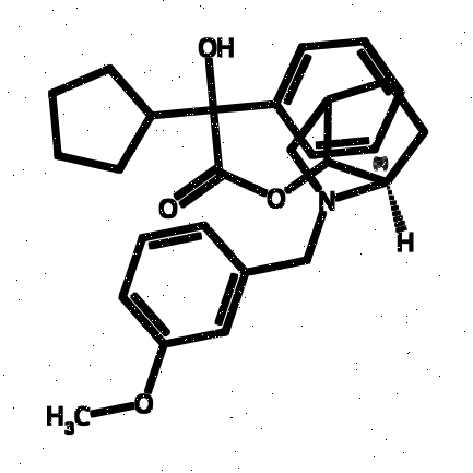 COc1cccc(CN2CC3CC[C@@H]2C3OC(=O)C(O)(c2ccccc2)C2CCCC2)c1